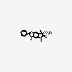 CCOC(=O)C1(C)C(=O)Nc2cc3[nH]c(-c4ccncc4)nc3cc21